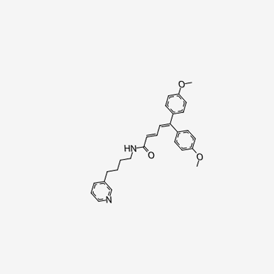 COc1ccc(C(=CC=CC(=O)NCCCCc2cccnc2)c2ccc(OC)cc2)cc1